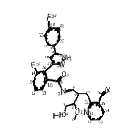 COC(CO)C(/C=N/C(=O)c1cccc(F)c1-c1cc(-c2ccc(F)cc2)[nH]n1)Cc1ncccc1C#N